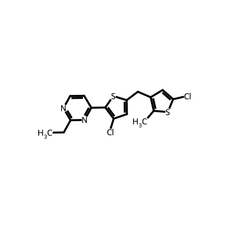 CCc1nccc(-c2sc(Cc3cc(Cl)sc3C)cc2Cl)n1